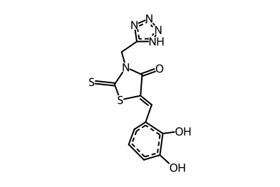 O=C1/C(=C/c2cccc(O)c2O)SC(=S)N1Cc1nnn[nH]1